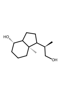 C[C@@H](CO)C1CCC2[C@@H](O)CCC[C@]12C